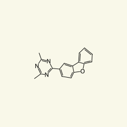 Cc1nc(C)nc(-c2ccc3oc4ccccc4c3c2)n1